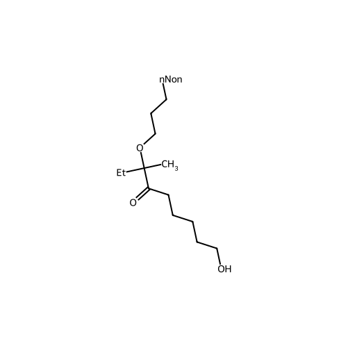 CCCCCCCCCCCCOC(C)(CC)C(=O)CCCCCO